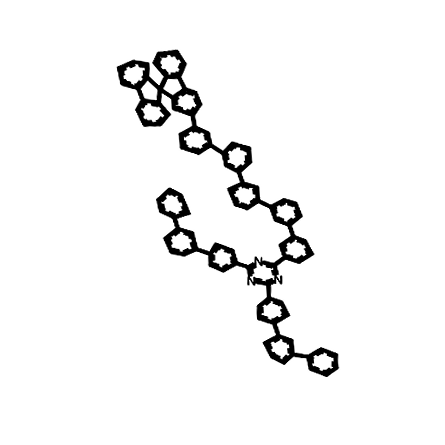 c1ccc(-c2cccc(-c3ccc(-c4nc(-c5ccc(-c6cccc(-c7ccccc7)c6)cc5)nc(-c5cccc(-c6cccc(-c7cccc(-c8cccc(-c9cccc(-c%10ccc%11c(c%10)C%10(c%12ccccc%12-c%12ccccc%12%10)c%10ccccc%10-%11)c9)c8)c7)c6)c5)n4)cc3)c2)cc1